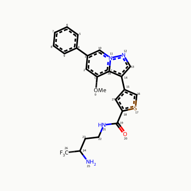 COc1cc(-c2ccccc2)cn2ncc(-c3csc(C(=O)NCCC(N)C(F)(F)F)c3)c12